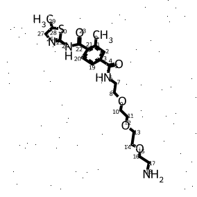 Cc1cc(C(=O)NCCOCCOCCOCCN)ccc1C(=O)NC1=NCC(C)S1